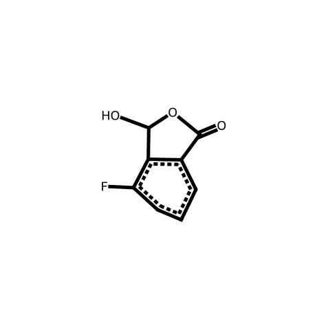 O=C1OC(O)c2c(F)cccc21